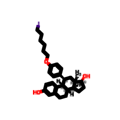 C[C@]12C[C@H](c3ccc(OCCCCCCI)cc3)[C@@H]3c4ccc(O)cc4CC[C@H]3[C@@H]1CC[C@@H]2O